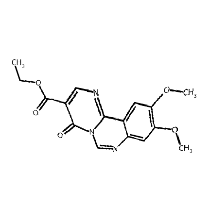 CCOC(=O)c1cnc2c3cc(OC)c(OC)cc3ncn2c1=O